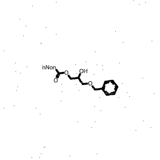 CCCCCCCCCC(=O)OCC(O)COCc1ccccc1